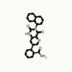 NC(=O)c1ccccc1-c1cnc2c(=O)n(-c3cccc4ccccc34)c(=O)[nH]c2c1